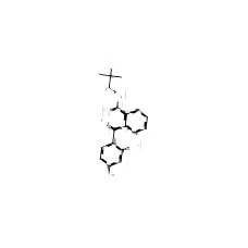 CC(C)(O)CNc1nnc(-c2ccc(C(F)(F)F)cc2O)c2ccccc12